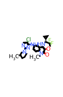 CCn1c(=O)c2c(c3cc(Nc4nc(N5CCC[C@@H](C)C5)ncc4Cl)ccc31)N[C@@H](C1CC1)C(F)(F)CO2